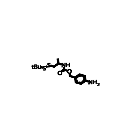 CC(CSSC(C)(C)C)NC(=O)OCc1ccc(N)cc1